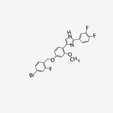 COc1cc(OCc2ccc(Br)cc2F)ccc1-c1c[nH]c(-c2ccc(F)c(F)c2)n1